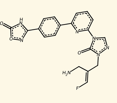 NC/C(=C\F)Cn1ncn(-c2cccc(-c3ccc(-c4noc(=O)[nH]4)cc3)n2)c1=O